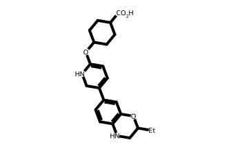 CCC1CNc2ccc(C3=CC=C(OC4CCC(C(=O)O)CC4)NC3)cc2O1